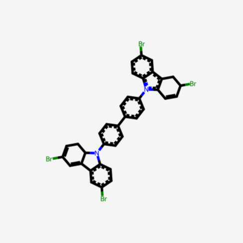 BrC1=CCC2C(=C1)c1cc(Br)ccc1N2c1ccc(-c2ccc(-n3c4c(c5cc(Br)ccc53)CC(Br)C=C4)cc2)cc1